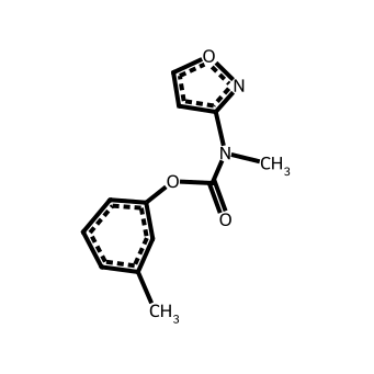 Cc1cccc(OC(=O)N(C)c2ccon2)c1